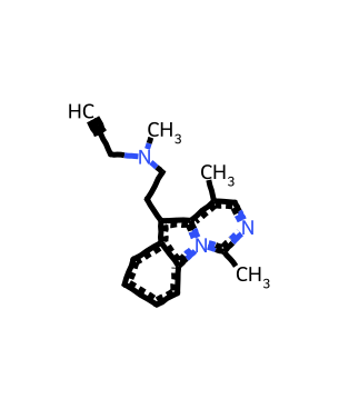 C#CCN(C)CCc1c2ccccc2n2c(C)ncc(C)c12